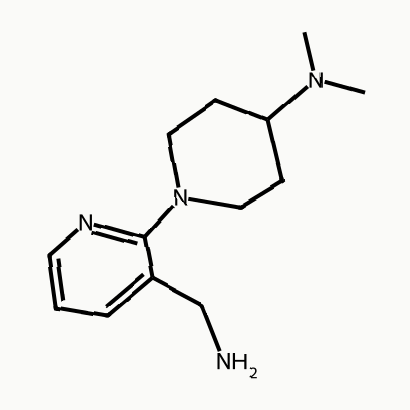 CN(C)C1CCN(c2ncccc2CN)CC1